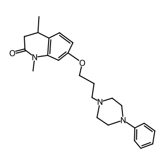 CC1CC(=O)N(C)c2cc(OCCCN3CCN(c4ccccc4)CC3)ccc21